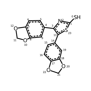 Sc1nc(-c2ccc3c(c2)OCO3)c(-c2ccc3c(c2)OCO3)s1